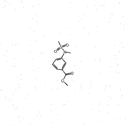 COC(=O)c1cccc(N(C)S(C)(=O)=O)c1